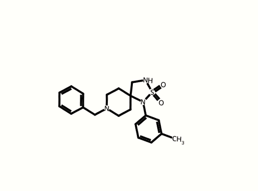 Cc1cccc(N2C3(CCN(Cc4ccccc4)CC3)CNS2(=O)=O)c1